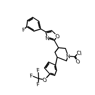 O=C(Cl)N1CC(c2ccc(OC(F)(F)F)cc2)CC(c2nc(-c3cccc(F)c3)co2)C1